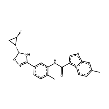 Cc1ccn2c(C(=O)Nc3cc(C4=NOC([C@@H]5C[C@H]5F)N4)ccc3C)cnc2c1